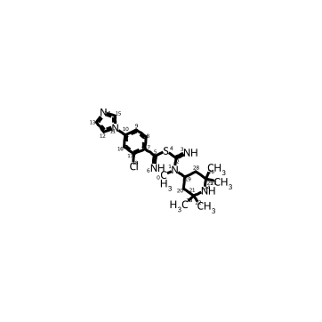 CN(C(=N)SC(=N)c1ccc(-n2ccnc2)cc1Cl)C1CC(C)(C)NC(C)(C)C1